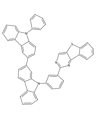 c1ccc(-n2c3ccccc3c3cc(-c4ccc5c6ccccc6n(-c6cccc(-c7ncc8sc9ccccc9c8n7)c6)c5c4)ccc32)cc1